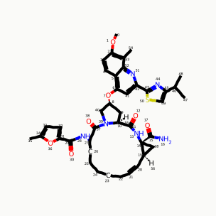 COc1ccc2c(O[C@@H]3C[C@H]4C(=O)N[C@]5(C(N)=O)C[C@H]5/C=C\CCCCC[C@H](NC(=O)c5ccc(C)o5)C(=O)N4C3)cc(-c3nc(C(C)C)cs3)nc2c1C